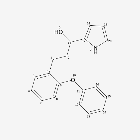 OC(CCc1ccccc1Oc1ccccc1)c1ccc[nH]1